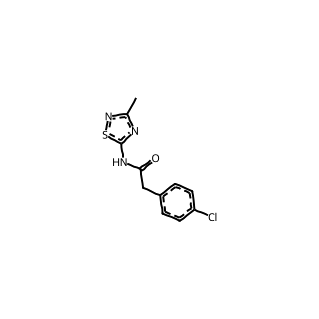 Cc1nsc(NC(=O)Cc2ccc(Cl)cc2)n1